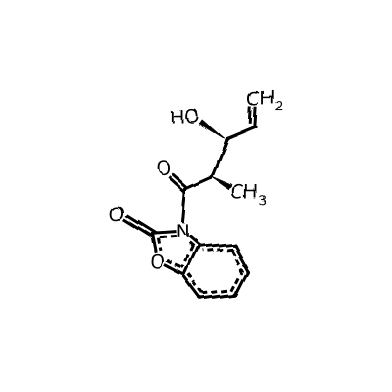 C=C[C@H](O)[C@@H](C)C(=O)n1c(=O)oc2ccccc21